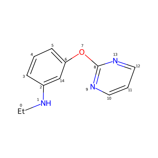 CCNc1cccc(Oc2ncccn2)c1